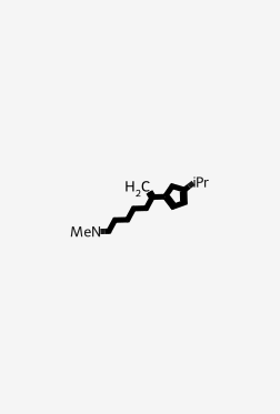 C=C(CCCCCNC)C1=CC=C(C(C)C)C1